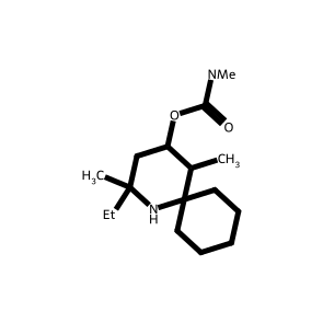 CCC1(C)CC(OC(=O)NC)C(C)C2(CCCCC2)N1